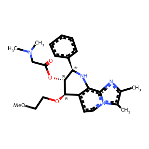 COCCO[C@@H]1c2ccn3c(C)c(C)nc3c2N[C@H](c2ccccc2)[C@H]1OC(=O)CN(C)C